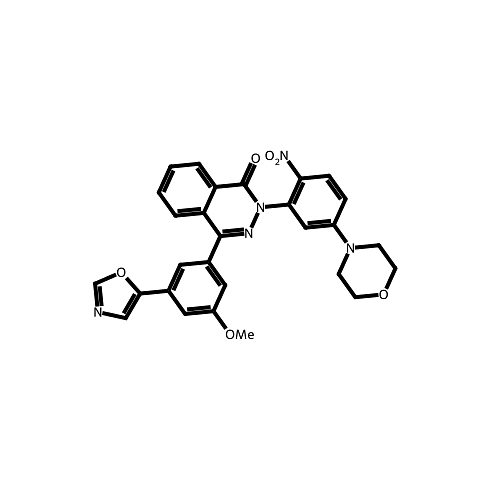 COc1cc(-c2cnco2)cc(-c2nn(-c3cc(N4CCOCC4)ccc3[N+](=O)[O-])c(=O)c3ccccc23)c1